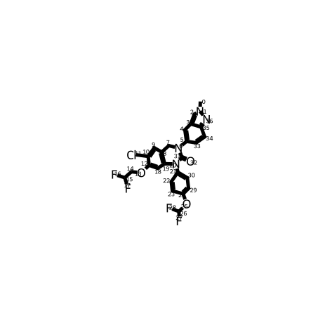 Cn1cc2cc(N3Cc4cc(Cl)c(OCC(F)F)cc4N(c4ccc(OC(F)F)cc4)C3=O)ccc2n1